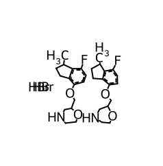 Br.Br.CC1CCc2c(OCC3CNCCO3)ccc(F)c21.CC1CCc2c(OCC3CNCCO3)ccc(F)c21